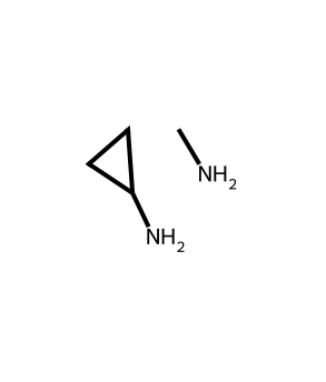 CN.NC1CC1